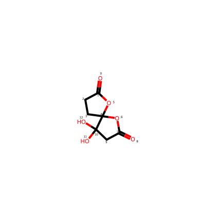 O=C1CCC2(O1)OC(=O)CC2(O)O